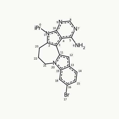 CC(C)n1c2c(c3c(N)ncnc31)-c1cc3ccc(Br)cc3n1CCC2